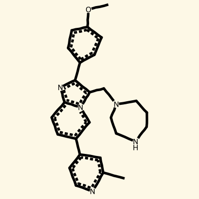 COc1ccc(-c2nc3ccc(-c4ccnc(C)c4)cn3c2CN2CCCNCC2)cc1